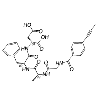 CC#Cc1ccc(C(=O)NCC(=O)N[C@@H](C)C(=O)N[C@@H](Cc2ccccc2)C(=O)N[C@@H](CC(=O)O)C(=O)O)cc1